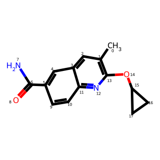 Cc1cc2cc(C(N)=O)ccc2nc1OC1CC1